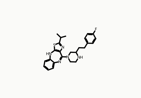 CC(C)c1nc2c(s1)Nc1ccccc1N=C2N1CCNC(CCc2ccc(F)cc2)C1